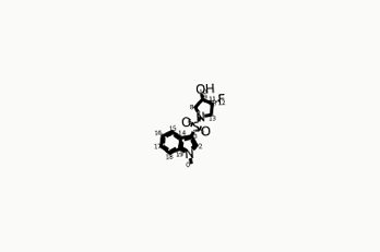 Cn1cc(S(=O)(=O)N2CC(O)[C@H](F)C2)c2ccccc21